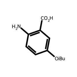 CC(C)COc1ccc(N)c(C(=O)O)c1